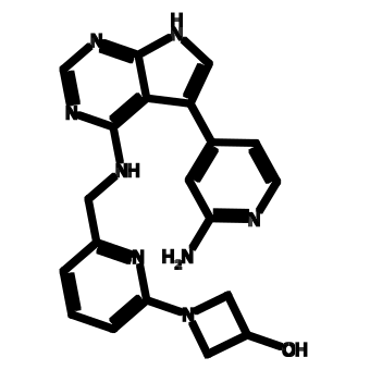 Nc1cc(-c2c[nH]c3ncnc(NCc4cccc(N5CC(O)C5)n4)c23)ccn1